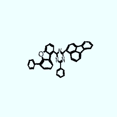 c1ccc(-c2nc(-c3ccc4c5c(cccc35)-c3ccccc3-4)nc(-c3cccc4oc5c(-c6ccccc6)cccc5c34)n2)cc1